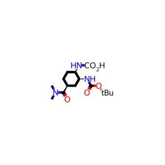 CN(C)C(=O)[C@H]1CC[C@H](NC(=O)O)[C@H](NC(=O)OC(C)(C)C)C1